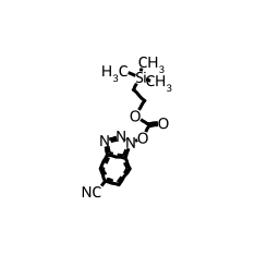 C[Si](C)(C)CCOC(=O)On1nnc2cc(C#N)ccc21